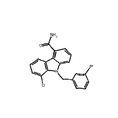 NC(=O)c1cccc2c1c1[c]ccc(Cl)c1n2Cc1cccc(Br)c1